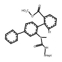 CCCCCCCNC(=O)N(C)c1cc(-c2ccccc2)ccc1-c1c(CC)cccc1C(=O)OC(=O)O